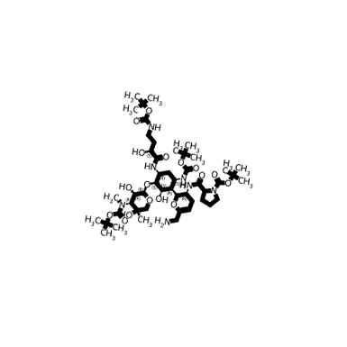 CN(C(=O)OC(C)(C)C)[C@@H]1[C@@H](O)[C@@H](O[C@@H]2[C@@H](O)[C@H](C3OC(CN)=CC[C@H]3NC(=O)C3CCCN3C(=O)OC(C)(C)C)[C@@H](NC(=O)OC(C)(C)C)C[C@H]2NC(=O)[C@@H](O)CCNC(=O)OC(C)(C)C)OC[C@]1(C)O